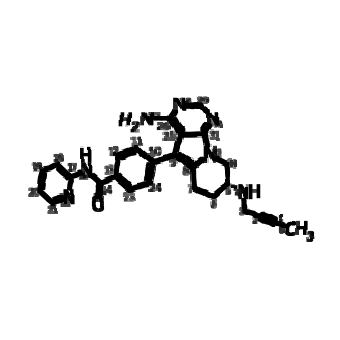 CC#CCN[C@@H]1CCc2c(-c3ccc(C(=O)Nc4ccccn4)cc3)c3c(N)ncnc3n2C1